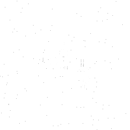 C[C@@H](CCC(O)(c1ccc(Cl)cc1)c1ccc(Cl)cc1)CNS(=O)(=O)c1ccc(Cl)s1